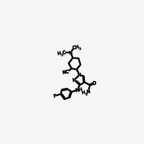 CN(C)C1CCC(n2cc(C(N)=O)c(Nc3ccc(F)cc3)n2)C(C#N)C1